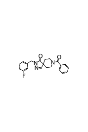 O=C(c1ccccc1)N1CCC2(C=NN(Cc3cccc(F)c3)C2=O)CC1